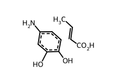 CC=CC(=O)O.Nc1ccc(O)c(O)c1